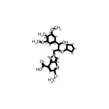 COc1cc(C(=O)O)c2nn(CC(OC3CCCC3)C(O)c3cc(OC)c(C)c(OC)c3)cc2n1